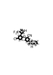 N#Cc1cc(S(=O)(=O)Nc2nccs2)ccc1Oc1ccc(Cl)cc1-c1c[nH]nc1C(F)(F)F